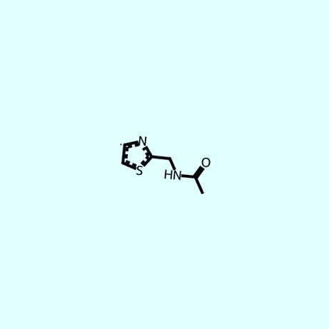 CC(=O)NCc1n[c]cs1